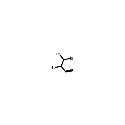 C=CC(CC)C(CC)C(C)C